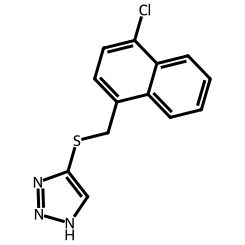 Clc1ccc(CSc2c[nH]nn2)c2ccccc12